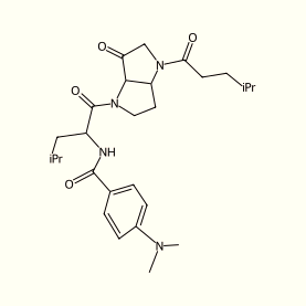 CC(C)CCC(=O)N1CC(=O)C2C1CCN2C(=O)C(CC(C)C)NC(=O)c1ccc(N(C)C)cc1